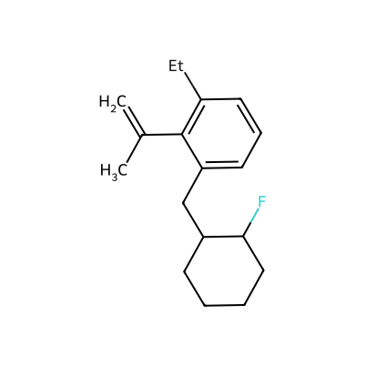 C=C(C)c1c(CC)cccc1CC1CCCCC1F